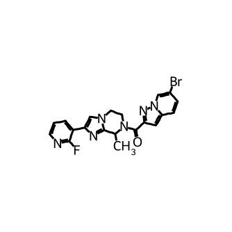 CC1c2nc(-c3cccnc3F)cn2CCN1C(=O)c1cc2ccc(Br)cn2n1